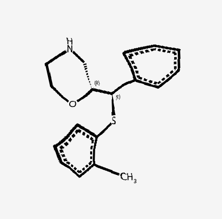 Cc1ccccc1S[C@H](c1ccccc1)[C@H]1CNCCO1